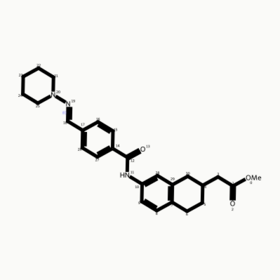 COC(=O)CC1CCc2ccc(NC(=O)c3ccc(/C=N/N4CCCCC4)cc3)cc2C1